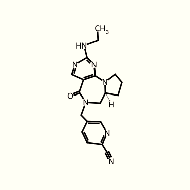 CCNc1ncc2c(n1)N1CCC[C@H]1CN(Cc1ccc(C#N)nc1)C2=O